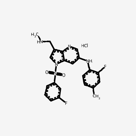 CNCc1cn(S(=O)(=O)c2cccc(F)c2)c2cc(Nc3ccc(C)cc3F)cnc12.Cl